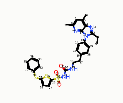 CCc1nc2c(C)cc(C)nc2n1-c1ccc(CCNC(=O)NS(=O)(=O)c2ccc(Sc3ccccc3)s2)cc1